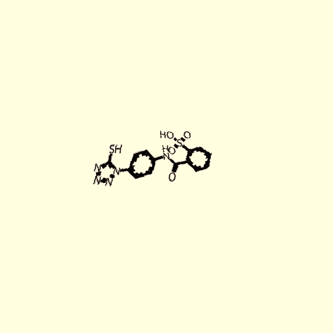 O=C(Nc1ccc(-n2nnnc2S)cc1)c1ccccc1S(=O)(=O)O